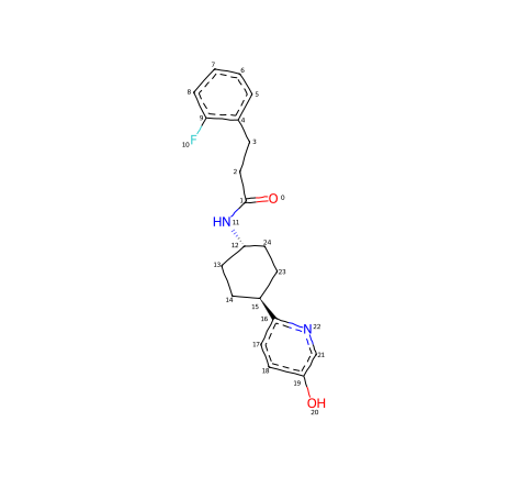 O=C(CCc1ccccc1F)N[C@H]1CC[C@H](c2ccc(O)cn2)CC1